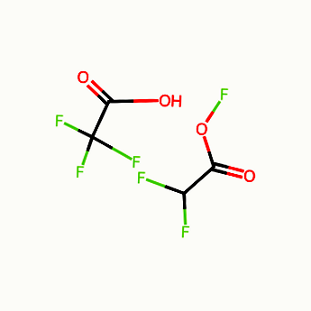 O=C(O)C(F)(F)F.O=C(OF)C(F)F